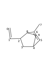 C=CC1CC2C=C(C)C1C2